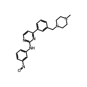 CN1CCN(Cc2cccc(-c3ccnc(Nc4cccc(N=O)c4)n3)c2)CC1